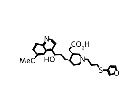 COc1ccc2nccc([C@@H](O)CC[C@@H]3CCN(CCCSc4ccoc4)C[C@@H]3CC(=O)O)c2c1